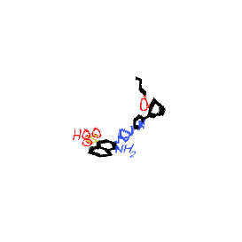 CCCCOc1ccccc1-c1ccc(/N=N/c2cc(S(=O)(=O)O)c3ccccc3c2N)cn1